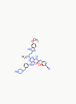 COc1ccc2nc(CCN(C)c3nc(Nc4cccc(CN5CCNCC5)c4)nc(N[C@@H](Cc4ccc(C#N)cc4)C(=O)O)n3)[nH]c2c1